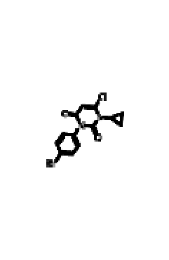 O=c1cc(Cl)n(C2CC2)c(=O)n1-c1ccc(Br)cc1